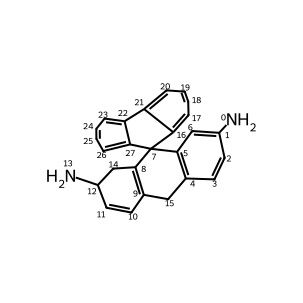 Nc1ccc2c(c1)C1(C3=C(C=CC(N)C3)C2)c2ccccc2-c2ccccc21